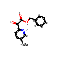 CCCCc1ccc(C(=O)C(=O)OCc2ccccc2)nc1